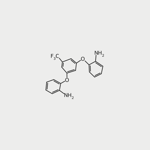 Nc1ccccc1Oc1cc(Oc2ccccc2N)cc(C(F)(F)F)c1